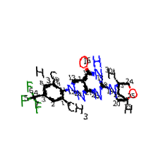 Cc1cc(C(F)(F)F)cc(C)c1-n1cc2c(=O)[nH]c(N3C[C@@H]4C[C@H]3CO4)nc2n1